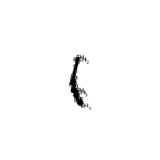 C=C(C)C(=O)OCCOCCOCCOC(=O)Oc1ccc(C(=O)Oc2ccc3c(c2)C(C)(C)c2cc(OC(=O)c4ccc(C)cc4F)ccc2-3)c(F)c1